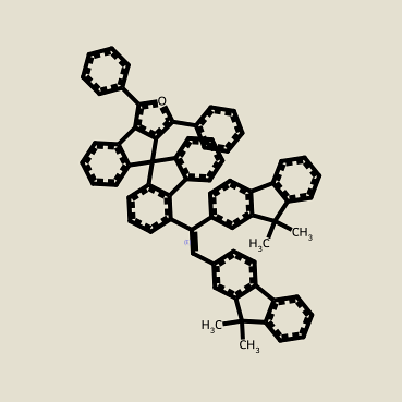 CC1(C)c2ccccc2-c2ccc(/C=C(\c3ccc4c(c3)C(C)(C)c3ccccc3-4)c3cccc4c3-c3ccccc3C43c4ccccc4-c4c(-c5ccccc5)oc(-c5ccccc5)c43)cc21